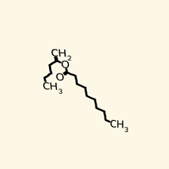 C=C(CCCC)OC(=O)CCCCCCCCC